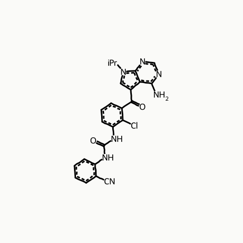 CC(C)n1cc(C(=O)c2cccc(NC(=O)Nc3ccccc3C#N)c2Cl)c2c(N)ncnc21